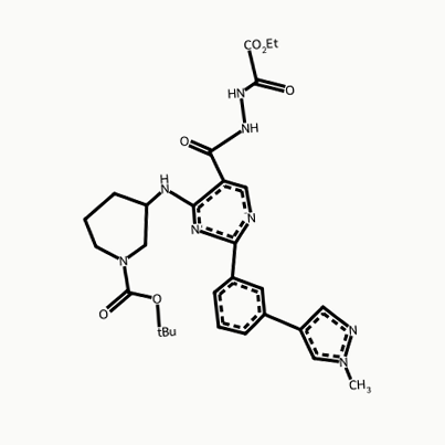 CCOC(=O)C(=O)NNC(=O)c1cnc(-c2cccc(-c3cnn(C)c3)c2)nc1NC1CCCN(C(=O)OC(C)(C)C)C1